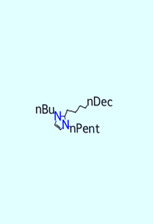 CCCCCCCCCCCCCCC1N(CCCC)C=CN1CCCCC